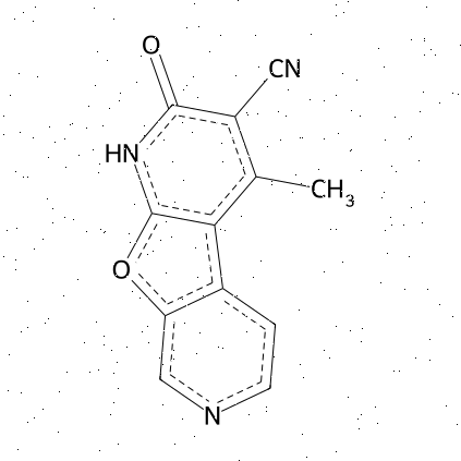 Cc1c(C#N)c(=O)[nH]c2oc3cnccc3c12